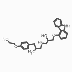 CC(CNCC(O)COc1cccc2[nH]c3ccccc3c12)Cc1ccc(OCCO)cc1